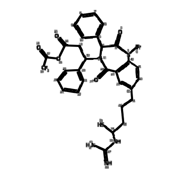 CC(C)N1C(=O)C(c2ccccc2)N(C(CC(=O)OC(=O)C(F)(F)F)c2ccccc2)C(=O)c2cc(CCCC(S)NC(=N)N)ccc21